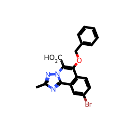 Cc1nc2c3cc(Br)ccc3c(OCc3ccccc3)c(C(=O)O)n2n1